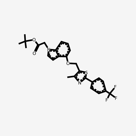 Cc1nc(-c2ccc(C(F)(F)F)cc2)sc1COc1cccc2c1ccn2CC(=O)OC(C)(C)C